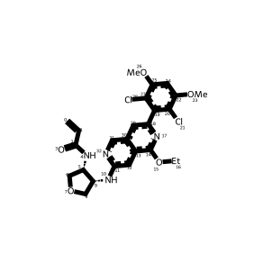 C=CC(=O)N[C@H]1COC[C@H]1Nc1cc2c(OCC)nc(-c3c(Cl)c(OC)cc(OC)c3Cl)cc2cn1